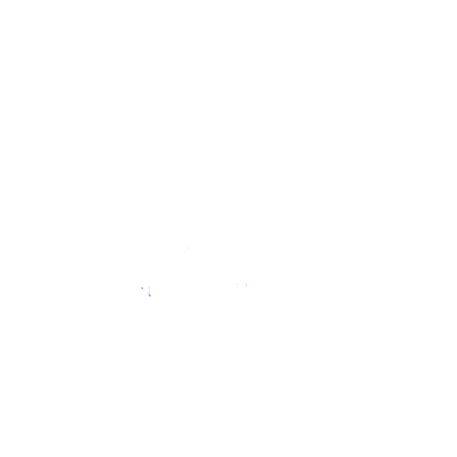 Cc1cccc(Oc2cn[c]s2)c1C